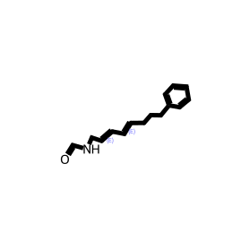 O=CNC/C=C/C=C/CCCc1ccccc1